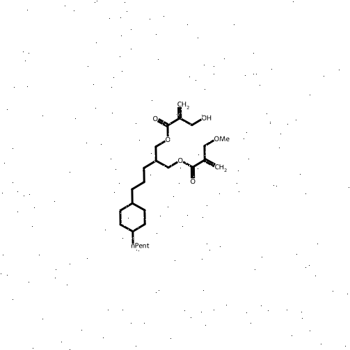 C=C(CO)C(=O)OCC(CCCC1CCC(CCCCC)CC1)COC(=O)C(=C)COC